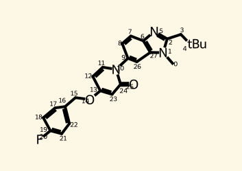 Cn1c(CC(C)(C)C)nc2ccc(-n3ccc(OCc4ccc(F)cc4)cc3=O)cc21